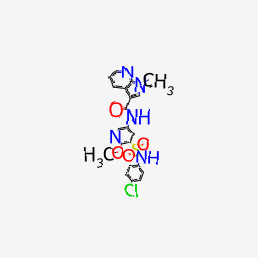 COc1ncc(NC(=O)c2cn(C)c3ncccc23)cc1S(=O)(=O)Nc1ccc(Cl)cc1